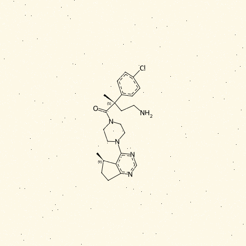 C[C@@H]1CCc2ncnc(N3CCN(C(=O)[C@@](C)(CCN)c4ccc(Cl)cc4)CC3)c21